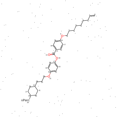 C=CCCCCCCCOc1ccc(C(=O)Oc2ccc(OCCCC3CCC(CCCCC)CC3)cc2)cc1